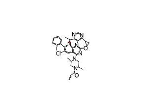 C=CC(=O)N1CC(C)N(c2nc(=O)n(-c3c(C(C)C)ncnc3C3CC3)c3nc(-c4ccccc4C)c(Cl)cc23)CC1C